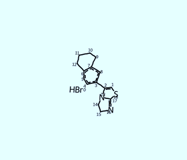 Br.C1=C(c2ccc3c(c2)CCCC3)N2CCN=C2S1